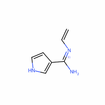 C=C/N=C(/N)c1cc[nH]c1